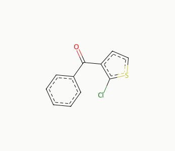 O=C(c1ccccc1)c1ccsc1Cl